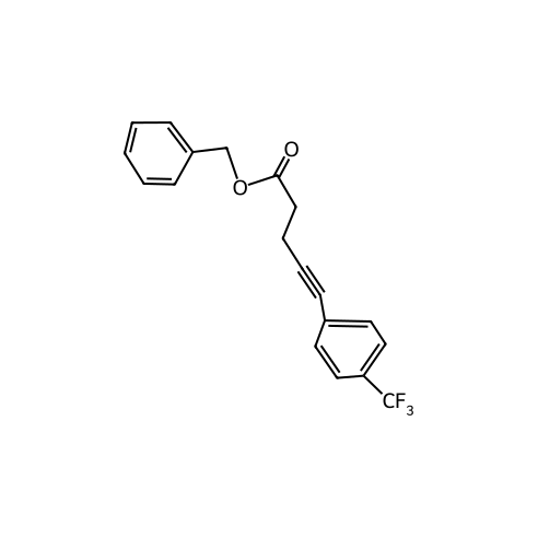 O=C(CCC#Cc1ccc(C(F)(F)F)cc1)OCc1ccccc1